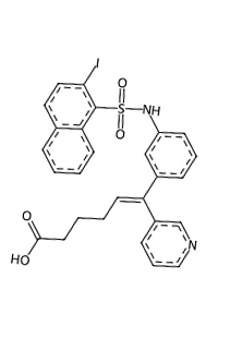 O=C(O)CCCC=C(c1cccnc1)c1cccc(NS(=O)(=O)c2c(I)ccc3ccccc23)c1